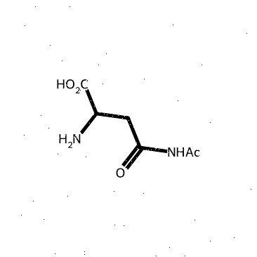 CC(=O)NC(=O)CC(N)C(=O)O